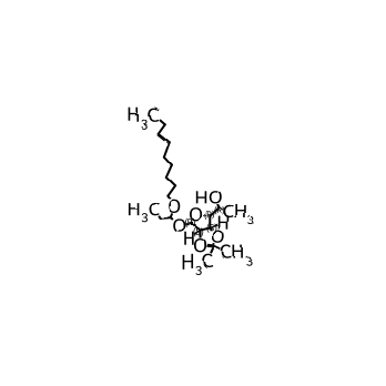 CCCCCCCCCOC(CC)O[C@H]1O[C@H]([C@@H](C)O)[C@@H]2OC(C)(C)O[C@H]12